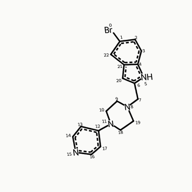 Brc1ccc2[nH]c(CN3CCN(c4ccncc4)CC3)cc2c1